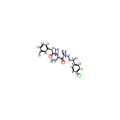 CCN(CCC(C)c1ccc(Cl)cc1)C(=O)[C@H](NC(=O)Cc1cccc(C)c1)C(C)C